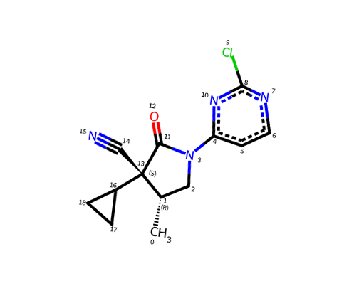 C[C@H]1CN(c2ccnc(Cl)n2)C(=O)[C@@]1(C#N)C1CC1